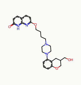 O=c1ccc2ccc(OCCCCN3CCN(c4cccc5c4CC(CO)CO5)CC3)nc2[nH]1